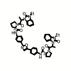 CCn1c(=O)n(C(C)C(=O)N2CCC[C@H]2C(=O)Nc2ccc(-c3cnc(-c4ccc(NC(=O)[C@@H]5CCCN5C(=O)C(C)n5c(=O)n(CC)c6ccccc65)cc4)o3)cc2)c2ccccc21